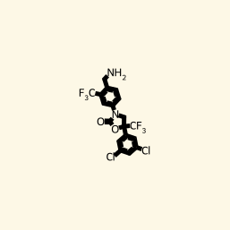 NCc1ccc(N2CC(c3cc(Cl)cc(Cl)c3)(C(F)(F)F)OC2=O)cc1C(F)(F)F